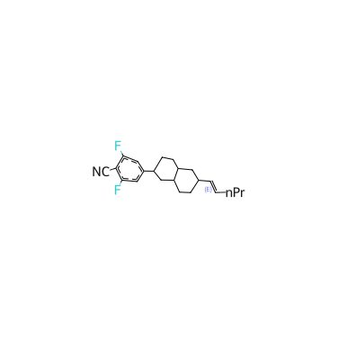 CCC/C=C/C1CCC2CC(c3cc(F)c(C#N)c(F)c3)CCC2C1